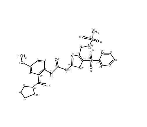 COc1ccc(NC(=O)Nc2nc(CNS(C)(=O)=O)c(S(=O)(=O)c3ccccn3)s2)c(C(=O)C2CCCC2)c1